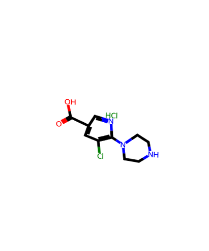 Cl.O=C(O)c1cnc(N2CCNCC2)c(Cl)c1